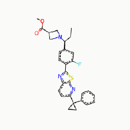 CCC(c1ccc(-c2nc3ccc(C4(c5ccccc5)CC4)nc3s2)c(F)c1)N1CC(C(=O)OC)C1